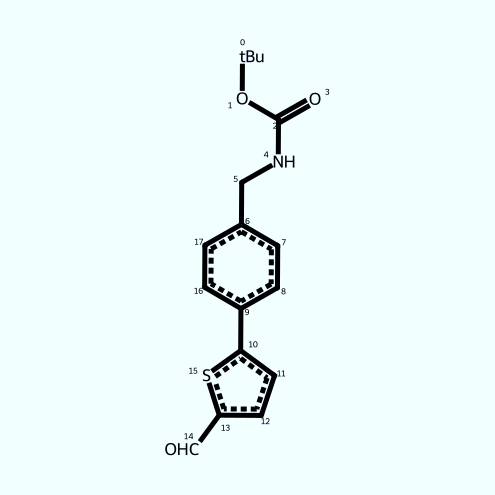 CC(C)(C)OC(=O)NCc1ccc(-c2ccc(C=O)s2)cc1